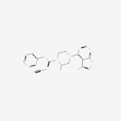 Cc1c[nH]c2ncnc(N3CCN(C(=NC#N)Nc4cccnc4)C(C)C3)c12